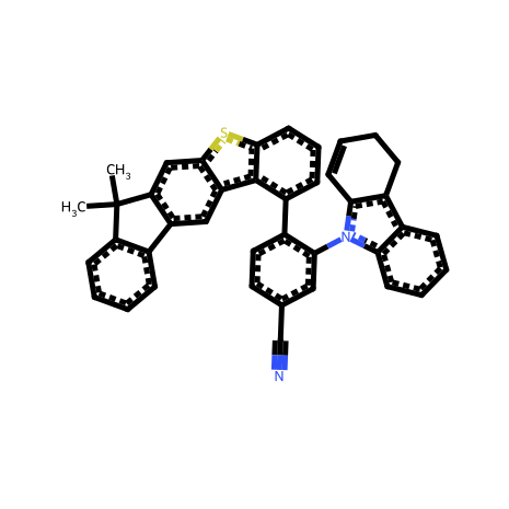 CC1(C)c2ccccc2-c2cc3c(cc21)sc1cccc(-c2ccc(C#N)cc2-n2c4c(c5ccccc52)CCC=C4)c13